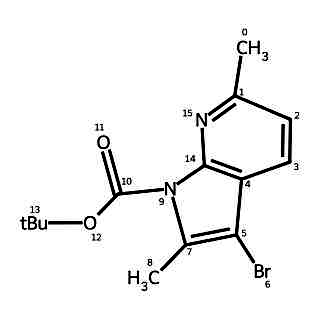 Cc1ccc2c(Br)c(C)n(C(=O)OC(C)(C)C)c2n1